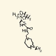 CN1CCN(CCNC(=O)c2ncc(C(C)(C)C)s2)CC1